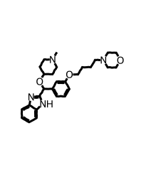 CN1CCC(OC(c2cccc(OCCCCN3CCOCC3)c2)c2nc3ccccc3[nH]2)CC1